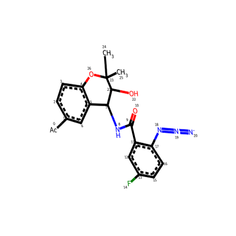 CC(=O)c1ccc2c(c1)C(NC(=O)c1cc(F)ccc1N=[N+]=[N-])C(O)C(C)(C)O2